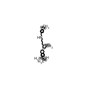 CCCN(CCCCCCNCCc1ccc(S(C)(=O)=O)cc1)C1CCc2cc(OC)c(NS(C)(=O)=O)cc2C1.Cl.Cl